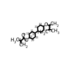 C=C(C)C(=C)OC1CCC(C2CCC(OC(=O)C(=C)C)CC2)CC1